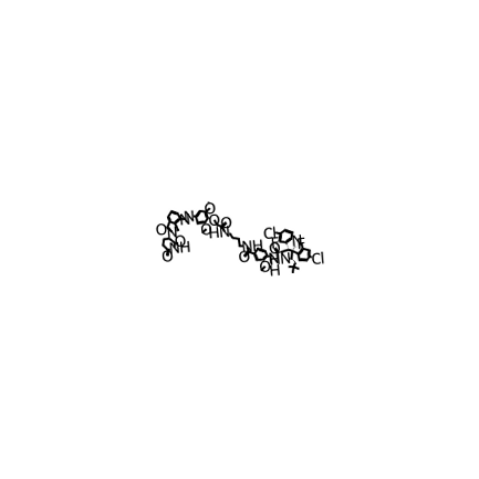 COc1cc(C(=O)NCCCCNC(=O)COc2c(OC)cc(N=Nc3cccc4c3CN(C3CCC(=O)NC3=O)C4=O)cc2OC)ccc1NC(=O)[C@@H]1N[C@@H](CC(C)(C)C)[C@](C#N)(c2ccc(Cl)cc2F)[C@H]1c1cccc(Cl)c1F